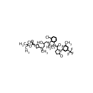 Cc1cc(C(F)(F)F)cc(N2C(=O)CCC2C(=O)N(C)c2cccc(Cl)c2N(C)CC(O)CN(C)C2CN(C(=O)OC(C)(C)C)C2)n1